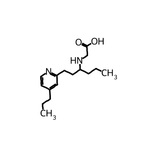 CCCc1ccnc(CCC(CCC)NCC(=O)O)c1